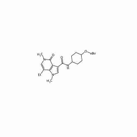 CCCCOC1CCC(NC(=O)c2cn(C)c3c(CC)cn(C)c(=O)c23)CC1